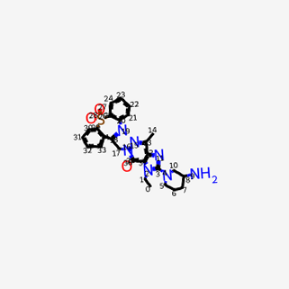 CCn1c(N2CCCC(N)C2)nc2c(C)nn(CC3=Nc4ccccc4S(=O)(=O)c4ccccc43)c(=O)c21